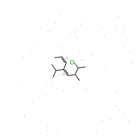 C/C=C\C(=C/C(C)C(C)Cl)C(C)C